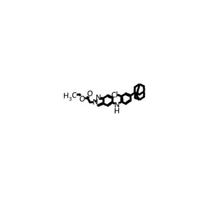 CCOC(=O)Cn1cc2cc(Nc3ccc(C45CC6CC(CC(C6)C4)C5)cc3Cl)ccc2n1